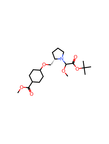 COC(=O)C1CCC(OC[C@@H]2CCCN2C(OC)C(=O)OC(C)(C)C)CC1